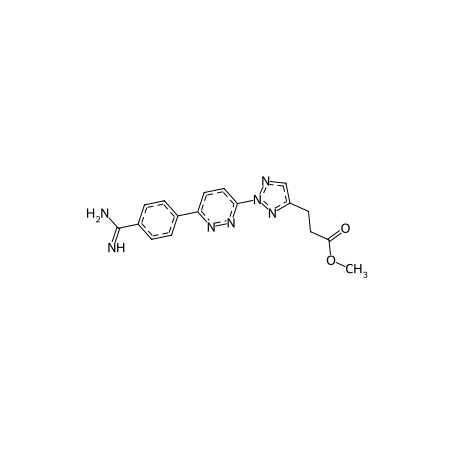 COC(=O)CCc1cnn(-c2ccc(-c3ccc(C(=N)N)cc3)nn2)n1